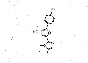 Cc1cnc(-c2ccc(-c3ccc(Br)cc3)o2)n1C.Cl